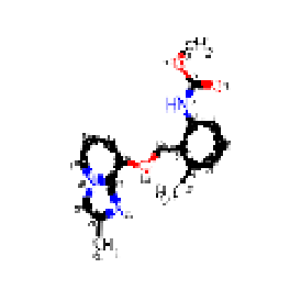 COC(=O)Nc1cccc(C)c1COc1cccn2cc(C)nc12